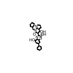 O=c1c(C2=Nc3c(O)cc(-c4ccccc4)cc3SN2O)c(O)c2cccnc2n1Cc1ccccc1